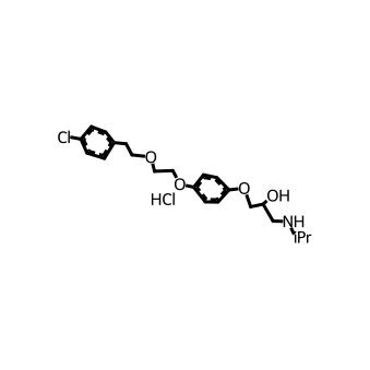 CC(C)NCC(O)COc1ccc(OCCOCCc2ccc(Cl)cc2)cc1.Cl